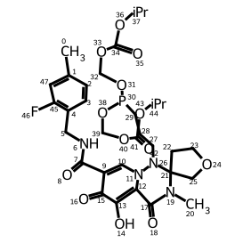 Cc1ccc(CNC(=O)c2cn3c(c(O)c2=O)C(=O)N(C)C2(CCOC2)N3CCCP(OCOC(=O)OC(C)C)OCOC(=O)OC(C)C)c(F)c1